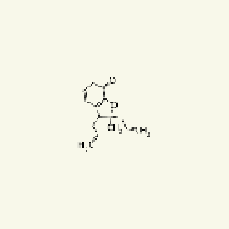 C=CCC1C2=C(OC1(C)CC=C)C(=O)CC=C2